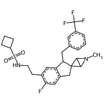 CN1C2C1C21Cc2cc(F)c(CCNS(=O)(=O)C3CCC3)cc2C1Cc1cccc(C(F)(F)F)c1